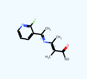 C/C(=N\C(C)=C(/C)C(=O)N=O)c1cccnc1F